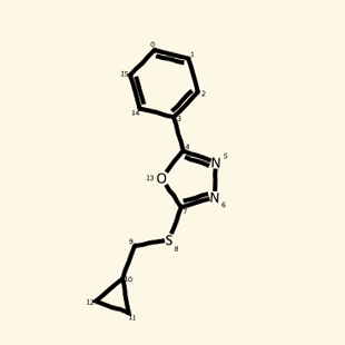 c1ccc(-c2nnc(SCC3CC3)o2)cc1